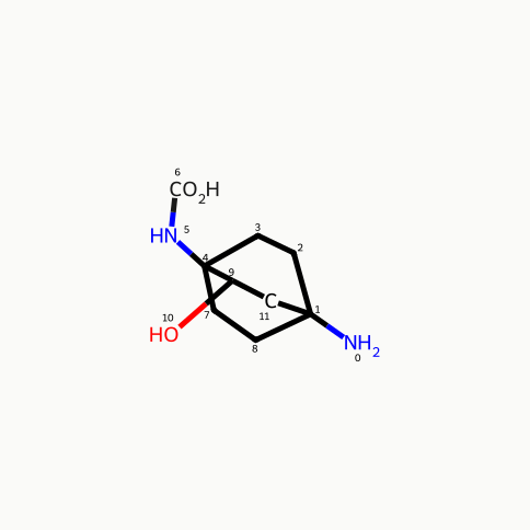 NC12CCC(NC(=O)O)(CC1)C(O)C2